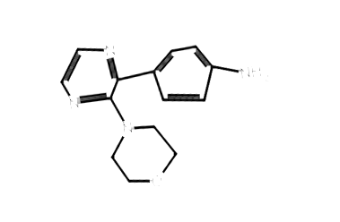 Nc1ccc(-c2nccnc2N2CCOCC2)cc1